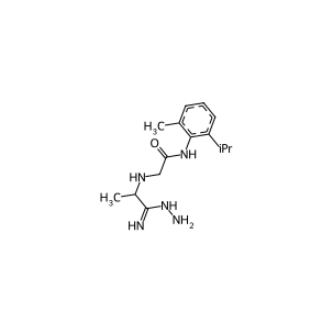 Cc1cccc(C(C)C)c1NC(=O)CNC(C)C(=N)NN